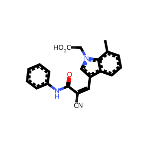 Cc1cccc2c(C=C(C#N)C(=O)Nc3ccccc3)cn(CC(=O)O)c12